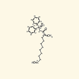 CCCCCCCCCCCCCCCCCCN(C)C(=O)CC(P)(c1ccccc1)c1ccccc1